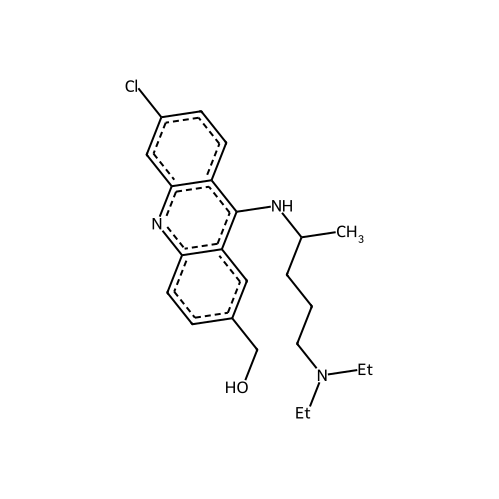 CCN(CC)CCCC(C)Nc1c2ccc(Cl)cc2nc2ccc(CO)cc12